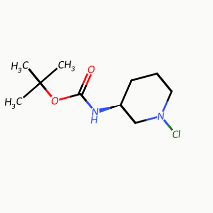 CC(C)(C)OC(=O)N[C@H]1CCCN(Cl)C1